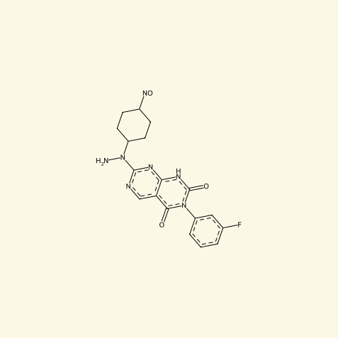 NN(c1ncc2c(=O)n(-c3cccc(F)c3)c(=O)[nH]c2n1)C1CCC(N=O)CC1